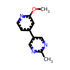 COc1cc(-c2cnc(C)nc2)ccn1